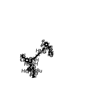 Cc1ncsc1-c1ccc([C@@H](NC(=O)C2C[C@@H](O)CN2C(=O)[C@@H](NC(=O)C2(F)CC2)C(C)(C)C)[C@H](O)C(=O)NCCCCCCNC(=O)COc2c(-c3csc(N4CCOCC4)n3)ccc(F)c2F)cc1